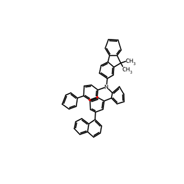 CC1(C)c2ccccc2-c2ccc(N(c3ccc(-c4ccccc4)cc3)c3ccccc3-c3cccc(-c4cccc5ccccc45)c3)cc21